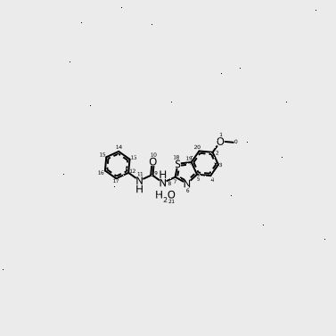 COc1ccc2nc(NC(=O)Nc3ccccc3)sc2c1.O